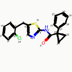 O=C(Nc1ncc(Cc2ccccc2Cl)s1)C1(c2ccccc2)CC1